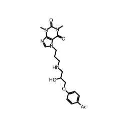 CC(=O)c1ccc(OCC(O)CNCCCn2cnc3c2c(=O)n(C)c(=O)n3C)cc1